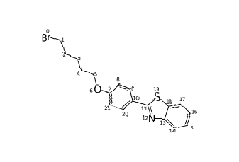 BrCCCCCOc1ccc(-c2nc3ccccc3s2)cc1